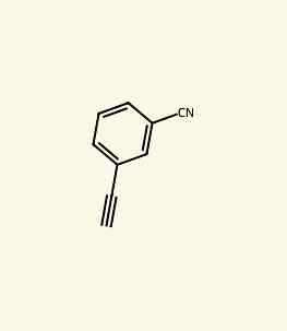 [C]#Cc1cccc(C#N)c1